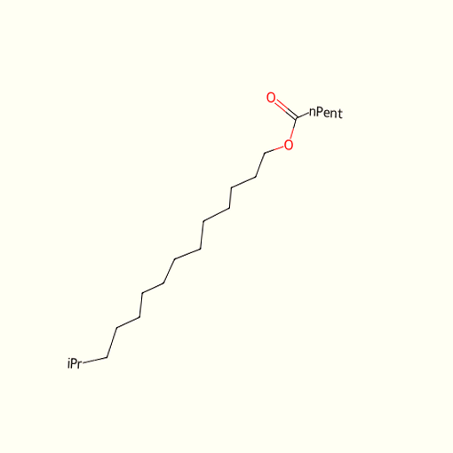 CCCCCC(=O)OCCCCCCCCCCCCC(C)C